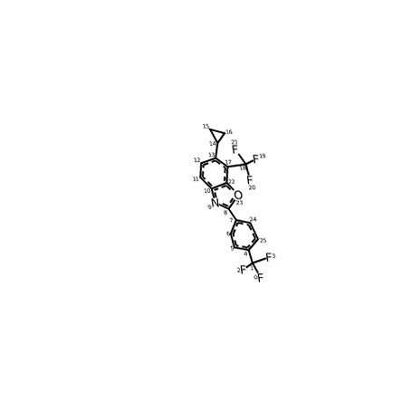 FC(F)(F)c1ccc(-c2nc3ccc(C4CC4)c(C(F)(F)F)c3o2)cc1